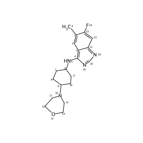 Cc1cc2c(NC3CCC(N4CCOCC4)CC3)ncnc2cc1F